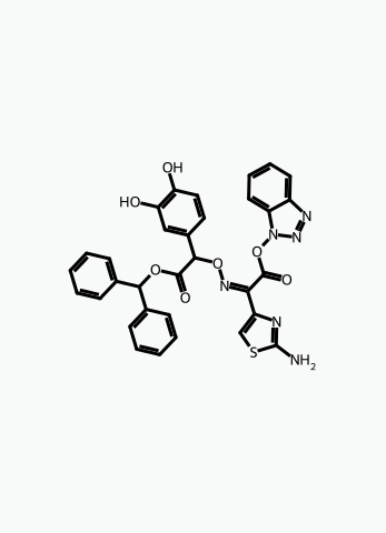 Nc1nc(C(=NOC(C(=O)OC(c2ccccc2)c2ccccc2)c2ccc(O)c(O)c2)C(=O)On2nnc3ccccc32)cs1